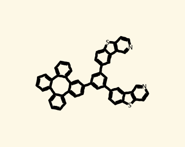 c1ccc2c(c1)-c1ccccc1-c1ccc(-c3cc(-c4ccc5sc6ccncc6c5c4)cc(-c4ccc5sc6ccncc6c5c4)c3)cc1-c1ccccc1-2